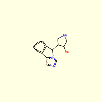 OC1CNCC1C1c2ccccc2-c2cncn21